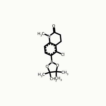 CN1C(=O)CCc2c1ccc(B1OC(C)(C)C(C)(C)O1)c2Cl